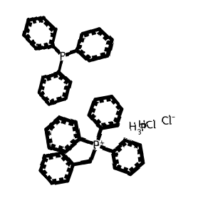 Cl.P.[Cl-].c1ccc(C[P+](c2ccccc2)(c2ccccc2)c2ccccc2)cc1.c1ccc(P(c2ccccc2)c2ccccc2)cc1